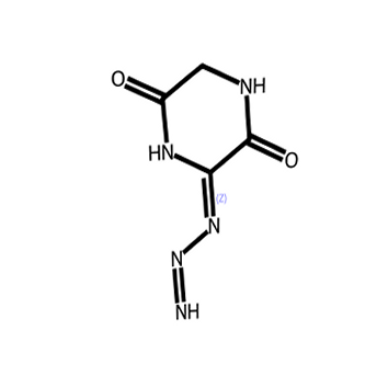 N=N/N=C1\NC(=O)CNC1=O